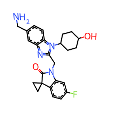 NCc1ccc2c(c1)nc(CN1C(=O)C3(CC3)c3ccc(F)cc31)n2C1CCC(O)CC1